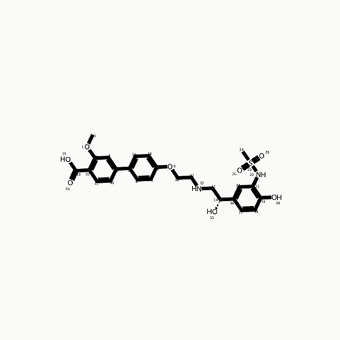 COc1cc(-c2ccc(OCCNC[C@@H](O)c3ccc(O)c(NS(C)(=O)=O)c3)cc2)ccc1C(=O)O